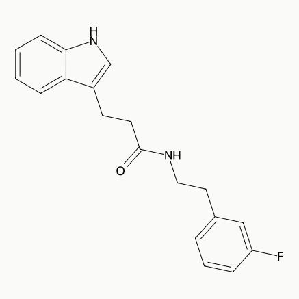 O=C(CCc1c[nH]c2ccccc12)NCCc1cccc(F)c1